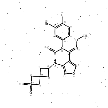 CO/N=C(/c1nonc1NC1CC2(C1)CS(=O)(=O)C2)N(C=O)c1ccc(F)c(Br)c1